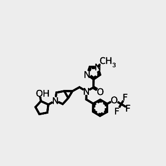 Cn1cnc(C(=O)N(Cc2cccc(OC(F)(F)F)c2)CC2C3CN(C4CCCC4O)CC23)c1